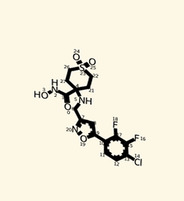 O=C(NO)C1(NCc2cc(-c3ccc(Cl)c(F)c3F)on2)CCS(=O)(=O)CC1